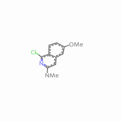 CNc1cc2cc(OC)ccc2c(Cl)n1